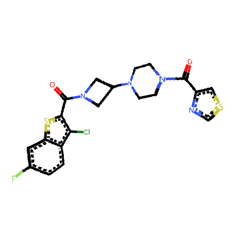 O=C(c1cscn1)N1CCN(C2CN(C(=O)c3sc4cc(F)ccc4c3Cl)C2)CC1